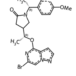 COc1ccc([C@@H](C)N2CC([C@@H](C)Oc3nc(Br)cn4nccc34)CC2=O)cc1